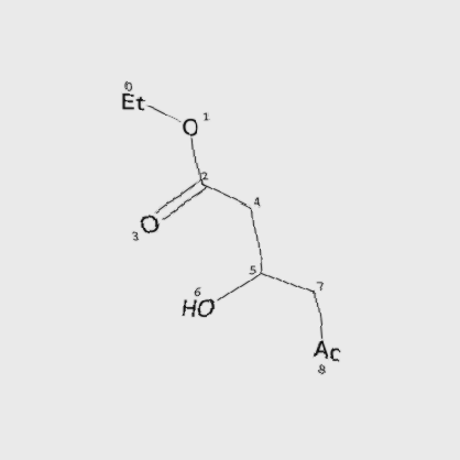 CCOC(=O)CC(O)CC(C)=O